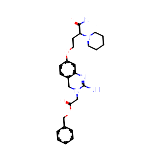 NC(=O)C(CCOc1ccc2c(c1)N=C(N)N(CC(=O)OCc1ccccc1)C2)N1CCCCC1